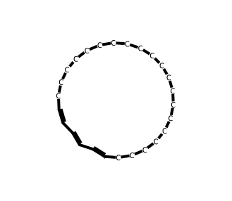 [C]1=C/C=C/C=C\CCCCCCCCCCCCCCCCCCCC/1